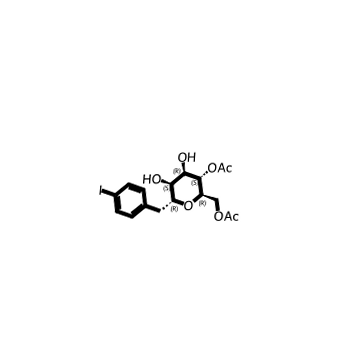 CC(=O)OC[C@H]1O[C@H](Cc2ccc(I)cc2)[C@@H](O)[C@@H](O)[C@@H]1OC(C)=O